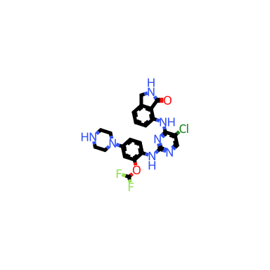 O=C1NCc2cccc(Nc3nc(Nc4ccc(N5CCNCC5)cc4OC(F)F)ncc3Cl)c21